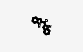 O=C(C1Cc2ccccc2N1)C1Cc2ccccc2N1